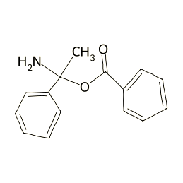 CC(N)(OC(=O)c1ccccc1)c1ccccc1